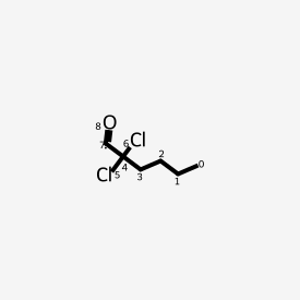 CCCCC(Cl)(Cl)[C]=O